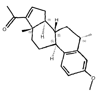 COc1ccc2c(c1)[C@@H](C)C[C@@H]1[C@@H]2CC[C@]2(C)C(C(C)=O)=CC[C@@H]12